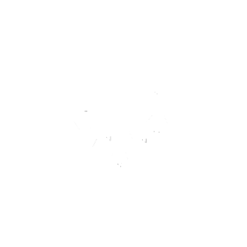 O=C(Nc1cccc(CN2CCOCC2)c1)c1c[nH]cc1NC(=O)c1c(F)cccc1F